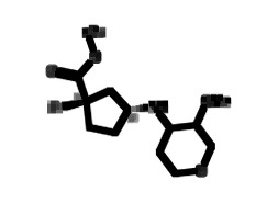 CCCCOC(=O)[C@@]1(C(C)C)CC[C@@H](NC2CCOCC2OC)C1